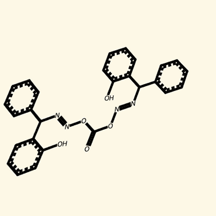 O=C(ON=NC(c1ccccc1)c1ccccc1O)ON=NC(c1ccccc1)c1ccccc1O